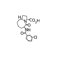 O=C(N[C@H]1CCCC[C@H]2CC[C@@H](C(=O)O)N2C1=O)c1cccc(Cl)c1